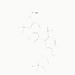 COC(=O)Nc1ccc2c(-c3nc(N[C@H]4CCC5(CC5)NC4)ncc3C(F)(F)F)c[nH]c2c1C(C)(F)F